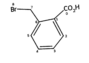 O=C(O)c1ccccc1CBr